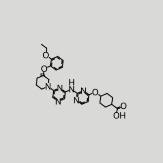 CCOc1ccccc1O[C@@H]1CCCN(c2cncc(Nc3nccc(OC4CCC(C(=O)O)CC4)n3)n2)C1